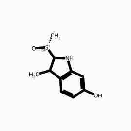 CC1c2ccc(O)cc2NC1[S@@+](C)[O-]